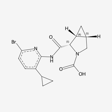 O=C(Nc1nc(Br)ccc1C1CC1)[C@@H]1[C@@H]2C[C@@H]2CN1C(=O)O